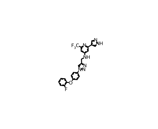 Fc1ccccc1Oc1ccc(-n2cc(CNc3cc(-c4cn[nH]c4)nc(C(F)(F)F)c3)nn2)cc1